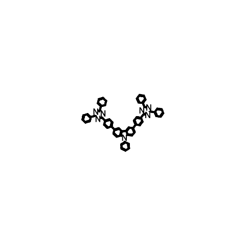 C1=CCCC(c2nc(-c3ccccc3)nc(-c3ccc(-c4ccc5c(c4)c4cc(-c6ccc(-c7nc(-c8ccccc8)nc(-c8ccccc8)n7)cc6)ccc4n5-c4ccccc4)cc3)n2)=C1